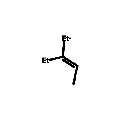 C[CH]C(=CC)CC